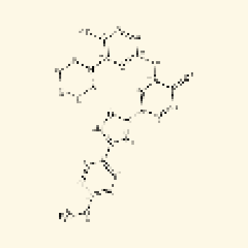 O=c1ccc(-c2nc(-c3ccc(OC(F)(F)F)cc3)no2)cn1Cc1ccc(F)c(N2CCOCC2)c1